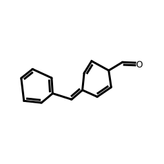 O=CC1C=CC(=Cc2ccccc2)C=C1